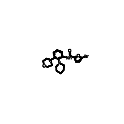 O=C(Nc1cccc(N2CCOCC2)c1N1CCCCC1)c1ccc(Br)o1